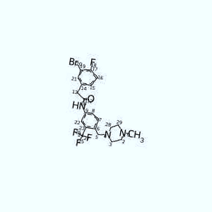 CN1CCN(Cc2ccc(NC(=O)Cc3ccc(F)c(Br)c3)cc2C(F)(F)F)CC1